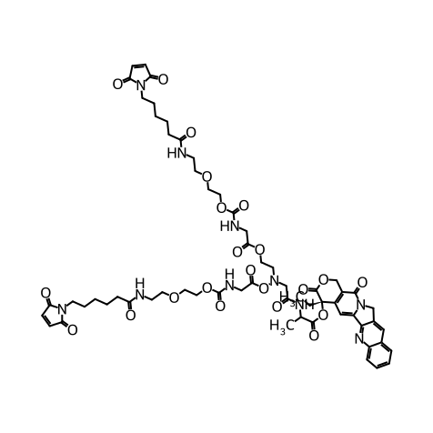 CC[C@@]1(OC(=O)C(C)NC(=O)CN(CCOC(=O)CNC(=O)OCCOCCNC(=O)CCCCCN2C(=O)C=CC2=O)OC(=O)CNC(=O)OCCOCCNC(=O)CCCCCN2C(=O)C=CC2=O)C(=O)OCc2c1cc1n(c2=O)Cc2cc3ccccc3nc2-1